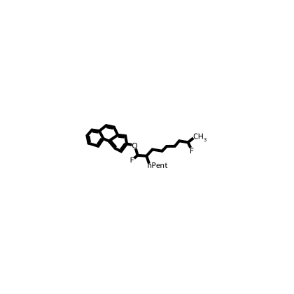 CCCCCC(CCCCCC(C)F)C(F)Oc1ccc2c(ccc3ccccc32)c1